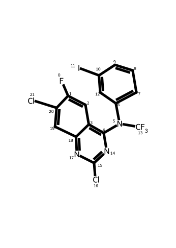 Fc1cc2c(N(c3cccc(I)c3)C(F)(F)F)nc(Cl)nc2cc1Cl